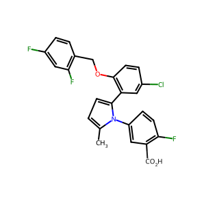 Cc1ccc(-c2cc(Cl)ccc2OCc2ccc(F)cc2F)n1-c1ccc(F)c(C(=O)O)c1